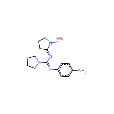 Br.CN1CCCC1=NC(=Nc1ccc(N)cc1)N1CCCC1